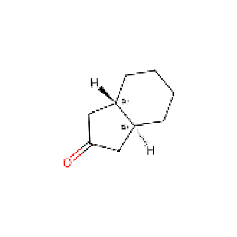 O=C1C[C@@H]2CCCC[C@H]2C1